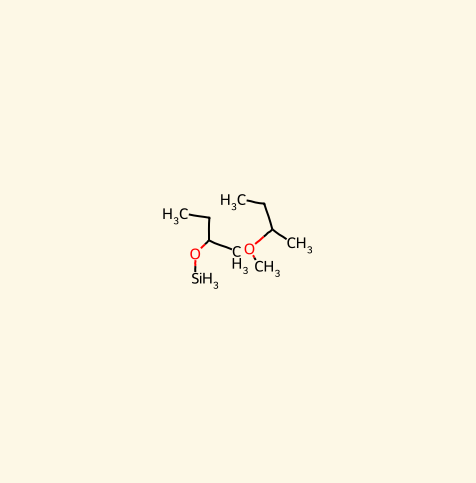 CCC(C)OC.CCC(C)O[SiH3]